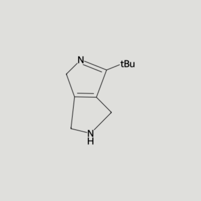 CC(C)(C)C1=NCC2=C1CNC2